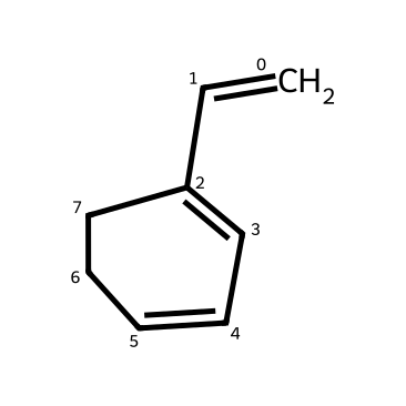 C=CC1=CC=CCC1